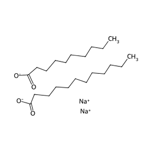 CCCCCCCCCC(=O)[O-].CCCCCCCCCCCC(=O)[O-].[Na+].[Na+]